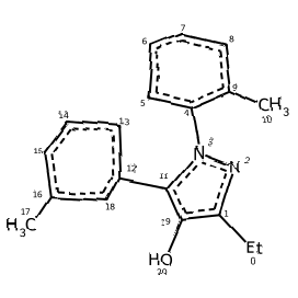 CCc1nn(-c2ccccc2C)c(-c2cccc(C)c2)c1O